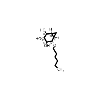 CCCCCCO[C@@H]1[C@@H](O)[C@H](O)[C@@H](O)[C@H]2C[C@H]21